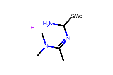 CSC(N)N=C(C)N(C)C.I